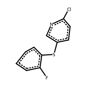 Fc1ccccc1Sc1ccc(Cl)nc1